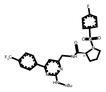 CCCCNc1nc(CNC(=O)[C@@H]2CCCN2S(=O)(=O)c2ccc(F)cc2)cc(-c2ccc(C(F)(F)F)cc2)n1